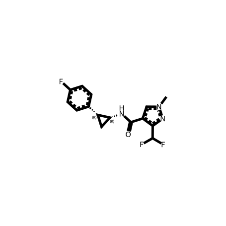 Cn1cc(C(=O)N[C@@H]2C[C@@H]2c2ccc(F)cc2)c(C(F)F)n1